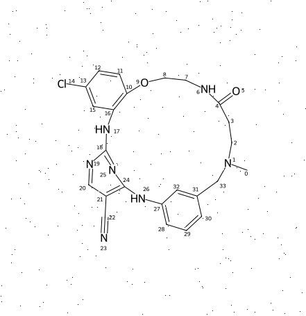 CN1CCC(=O)NCCOc2ccc(Cl)cc2Nc2ncc(C#N)c(n2)Nc2cccc(c2)C1